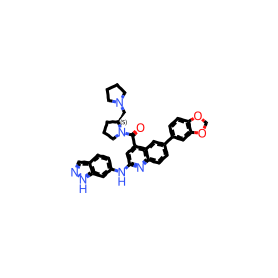 O=C(c1cc(Nc2ccc3cn[nH]c3c2)nc2ccc(-c3ccc4c(c3)OCO4)cc12)N1CCC[C@H]1CN1CCCC1